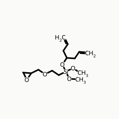 C=CCC(CC=C)O[Si](CCOCC1CO1)(OC)OC